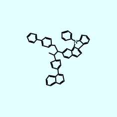 CC(c1ccc(-c2cccc3ccccc23)cc1)C(Cc1ccc(-c2ccccc2)cc1)c1ccc2ccc3c4ccccc4n(-c4ccccc4)c3c2c1